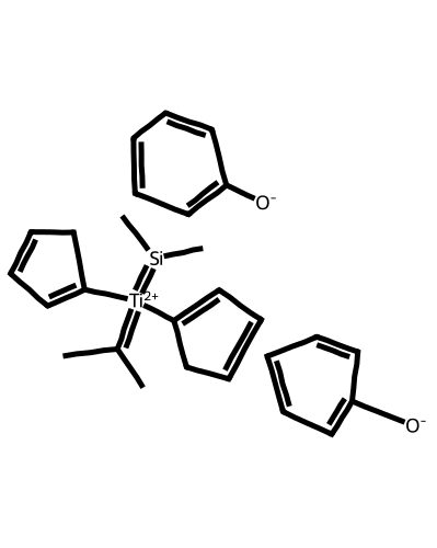 C[C](C)=[Ti+2]([C]1=CC=CC1)([C]1=CC=CC1)=[Si](C)C.[O-]c1ccccc1.[O-]c1ccccc1